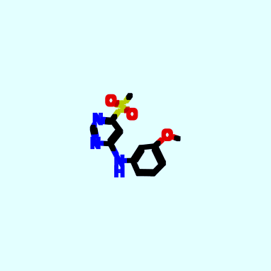 COc1cccc(Nc2cc(S(C)(=O)=O)ncn2)c1